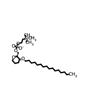 CCCCCCCCCCCCCCCCO[C@@H]1CCCO[C@H]1COP(=O)([O-])OCC[N+](C)(C)C